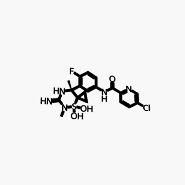 CN1C(=N)N[C@](C)(c2cc(NC(=O)c3ccc(Cl)cn3)ccc2F)C2(CC2)S1(O)O